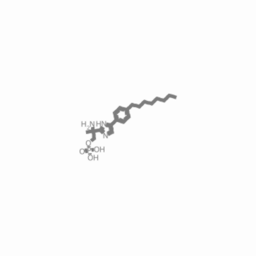 CCCCCCCCc1ccc(-c2cnc(C(C)(N)COP(=O)(O)O)[nH]2)cc1